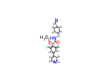 CCOC(C(=O)NCc1ccc(C#N)cc1)c1c(F)cc(-c2ccncc2)cc1F